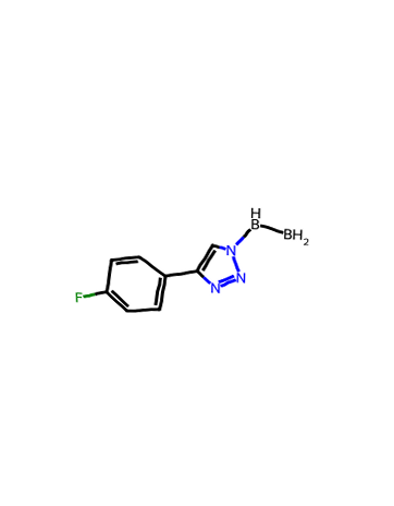 BBn1cc(-c2ccc(F)cc2)nn1